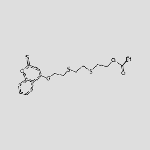 CCC(=O)OCCSCCSCCOc1cc(=S)oc2ccccc12